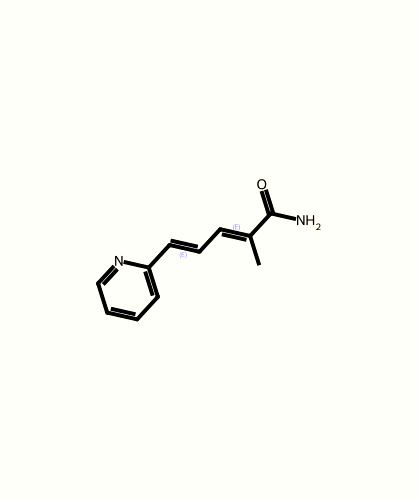 C/C(=C\C=C\c1ccccn1)C(N)=O